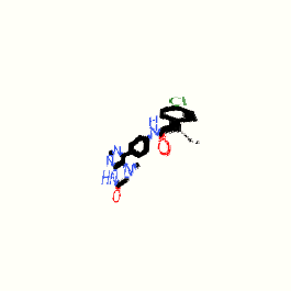 [CH2][C@H](C(=O)Nc1ccc(-c2ncnc3c2N(C)CC(=O)N3)cc1)c1ccc(Cl)cc1